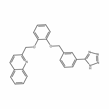 c1cc(COc2ccccc2OCc2ccc3ccccc3n2)cc(-c2nnn[nH]2)c1